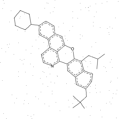 CC(C)Cc1c2c(cc3cc(CC(C)(C)C)ccc13)-c1nccc3c1c(cc1ccc(C4CCCCC4)cc13)O2